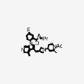 CC(=O)N1[C@@H](C)CC(N2CC(Cc3cn(-c4ccc(F)cc4C(=O)N(C)C(C)C)c4cncc(C)c34)C2)C[C@@H]1C